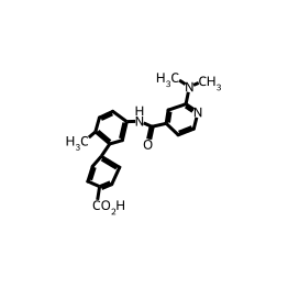 Cc1ccc(NC(=O)c2ccnc(N(C)C)c2)cc1-c1ccc(C(=O)O)cc1